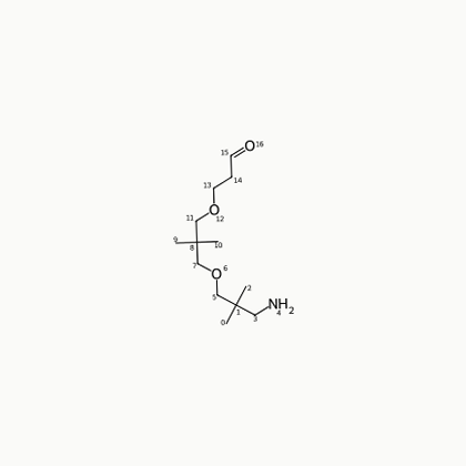 CC(C)(CN)COCC(C)(C)COCCC=O